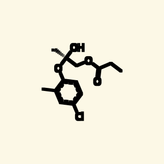 [CH2][C@](O)(COC(=O)CC)Oc1ccc(Cl)cc1C